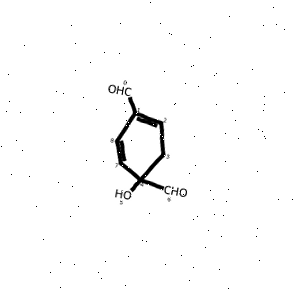 O=CC1=CCC(O)(C=O)C=C1